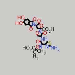 CC(C)(O/N=C(\C(=O)NC1CON(C2(C(=O)O)CC(N3C(=O)c4cc(O)c(O)cc4C3=O)C(=O)O2)C1=O)c1csc(N)n1)C(=O)O